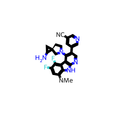 CNc1cc(F)c(F)c2c1[nH]c1ncc(-c3cncc(C#N)c3)c(N3CC[C@@]4(CC4N)C3)c12